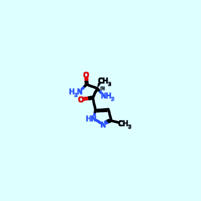 Cc1cc(C(=O)[C@](C)(N)C(N)=O)[nH]n1